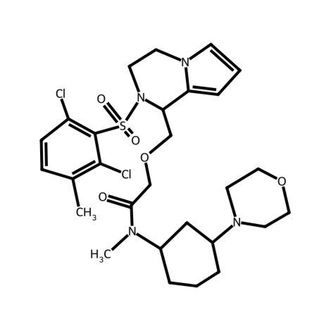 Cc1ccc(Cl)c(S(=O)(=O)N2CCn3cccc3C2COCC(=O)N(C)C2CCCC(N3CCOCC3)C2)c1Cl